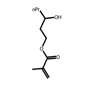 C=C(C)C(=O)OCCC(O)CCC